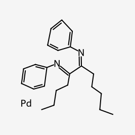 CCCCCC(=Nc1ccccc1)C(CCCC)=Nc1ccccc1.[Pd]